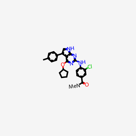 CNC(=O)c1ccc(Nc2nc(OC3CCCC3)c3c(-c4ccc(C)cc4)c[nH]c3n2)c(Cl)c1